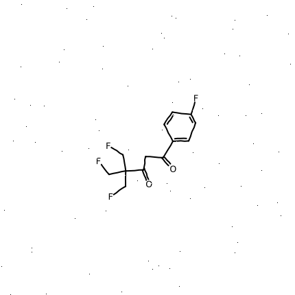 O=C(CC(=O)C(CF)(CF)CF)c1ccc(F)cc1